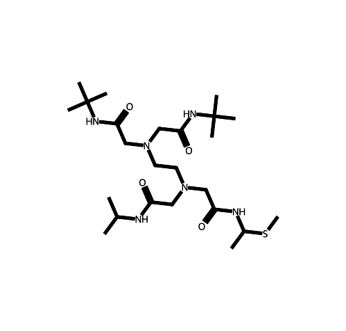 CSC(C)NC(=O)CN(CCN(CC(=O)NC(C)(C)C)CC(=O)NC(C)(C)C)CC(=O)NC(C)C